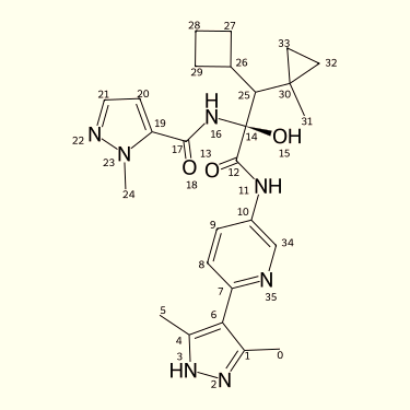 Cc1n[nH]c(C)c1-c1ccc(NC(=O)[C@](O)(NC(=O)c2ccnn2C)C(C2CCC2)C2(C)CC2)cn1